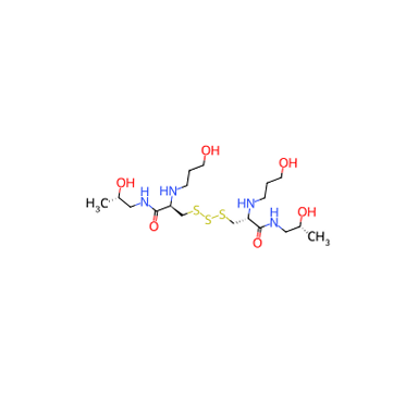 C[C@H](O)CNC(=O)[C@H](CSSSC[C@H](NCCCO)C(=O)NC[C@@H](C)O)NCCCO